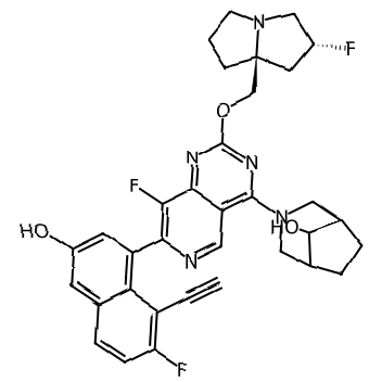 C#Cc1c(F)ccc2cc(O)cc(-c3ncc4c(N5CC6CCC(C5)C6O)nc(OC[C@@]56CCCN5C[C@H](F)C6)nc4c3F)c12